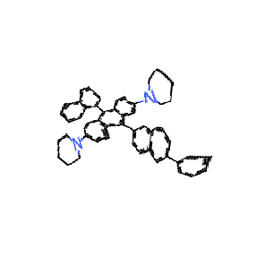 c1ccc(-c2ccc3cc(-c4c5cc(N6CCCCC6)ccc5c(-c5cccc6ccccc56)c5cc(N6CCCCC6)ccc45)ccc3c2)cc1